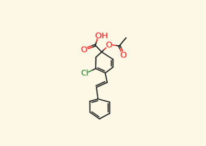 CC(=O)OC1(C(=O)O)C=CC(C=Cc2ccccc2)=C(Cl)C1